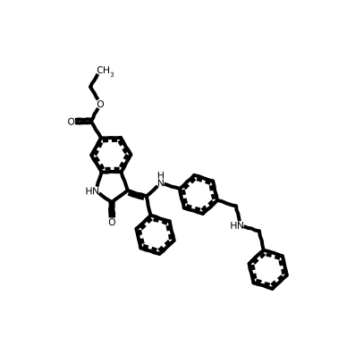 CCOC(=O)c1ccc2c(c1)NC(=O)C2=C(Nc1ccc(CNCc2ccccc2)cc1)c1ccccc1